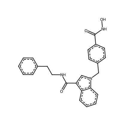 O=C(NO)c1ccc(Cn2cc(C(=O)NCCc3ccccc3)c3ccccc32)cc1